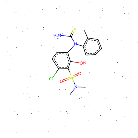 Cc1ccccc1N(C(N)=S)c1ccc(Cl)c(S(=O)(=O)N(C)C)c1O